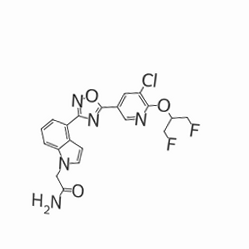 NC(=O)Cn1ccc2c(-c3noc(-c4cnc(OC(CF)CF)c(Cl)c4)n3)cccc21